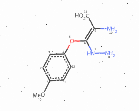 COc1ccc(O/C(NN)=C(/N)C(=O)O)cc1